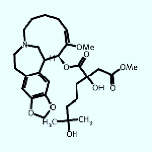 COC(=O)CC(O)(CCCC(C)(C)O)C(=O)O[C@@H]1/C(OC)=C\CCCCN2CCc3cc4c(cc3[C@H]1C2)OCO4